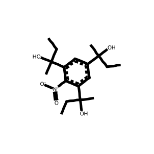 CCC(C)(O)c1cc(C(C)(O)CC)c([N+](=O)[O-])c(C(C)(O)CC)c1